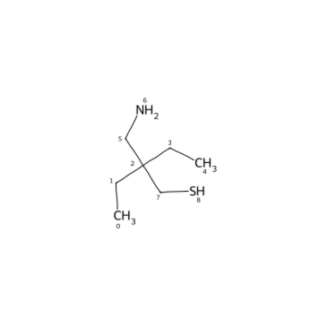 CCC(CC)(CN)CS